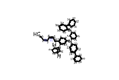 C#C/C=C\C=C/Cc1ccc(N(c2ccc(-c3ccccc3)cc2)c2cccc(-n3c4ccccc4c4ccccc43)c2)cc1[C@@H]1C[C@H]2CC[C@@H]1C2